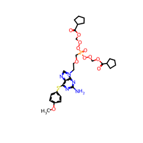 COc1ccc(Sc2nc(N)nc3c2ncn3CCOCP(=O)(OOCOC(=O)C2CCCC2)OOCOC(=O)C2CCCC2)cc1